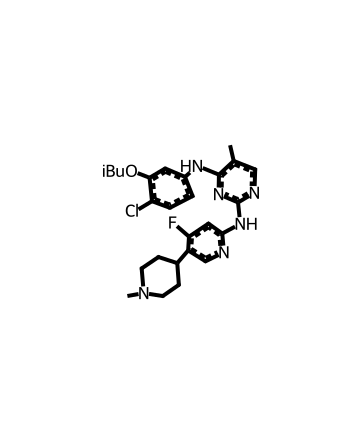 Cc1cnc(Nc2cc(F)c(C3CCN(C)CC3)cn2)nc1Nc1ccc(Cl)c(OCC(C)C)c1